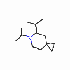 CC(C)C1CC2(CCN1C(C)C)CC2